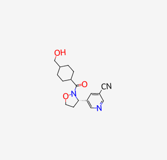 N#Cc1cncc([C@@H]2CCON2C(=O)C2CCC(CO)CC2)c1